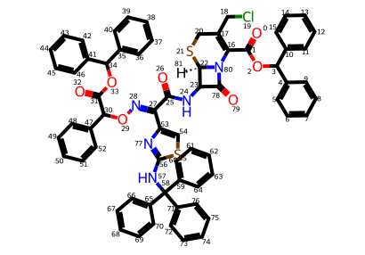 O=C(OC(c1ccccc1)c1ccccc1)C1=C(CCl)CS[C@@H]2C(NC(=O)/C(=N/OC(C(=O)OC(c3ccccc3)c3ccccc3)c3ccccc3)c3csc(NC(c4ccccc4)(c4ccccc4)c4ccccc4)n3)C(=O)N12